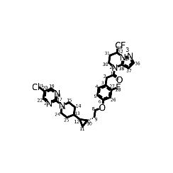 O=C(Cc1ccc(OCC[C@@H]2CC2C2CCN(c3ncc(Cl)cn3)CC2)cc1F)N1CCC(C(F)(F)F)n2nccc21